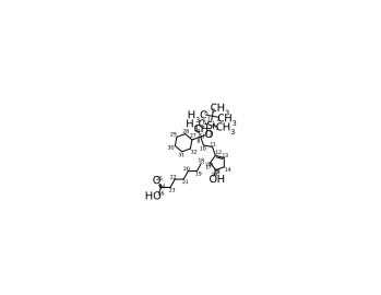 CC(C)(C)[Si](C)(C)O[C@@](C)(CCC1=CC[C@H](O)[C@@H]1CCCCCCC(=O)O)C1CCCCC1